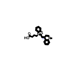 CN1C=C/C(=C\c2sc3ccccc3[n+]2CCCC(=O)O)c2ccccc21